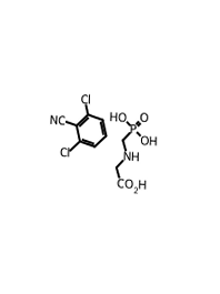 N#Cc1c(Cl)cccc1Cl.O=C(O)CNCP(=O)(O)O